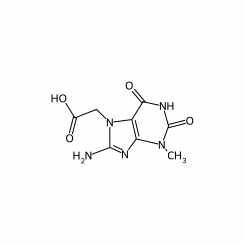 Cn1c(=O)[nH]c(=O)c2c1nc(N)n2CC(=O)O